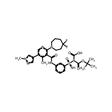 Cc1c(-c2cnn(C)c2)cnc(N2CCCC(F)(F)CC2)c1C(=O)Nc1cccc(S(=N)(=O)N(C(=O)O)C(=O)OC(C)(C)C)c1